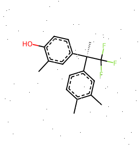 Cc1ccc([C@@](C)(c2ccc(O)c(C)c2)C(F)(F)F)cc1C